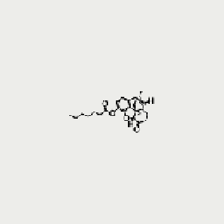 CCCCCCC(=O)Oc1ccc2c3c1O[C@H]1C(=O)CCC4[C@@H](C2)N(C)CC[C@@]341